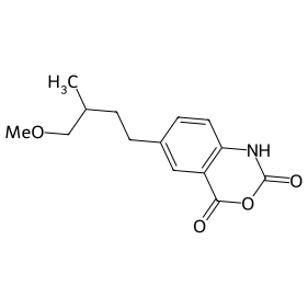 COCC(C)CCc1ccc2[nH]c(=O)oc(=O)c2c1